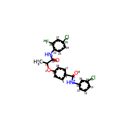 CC(Oc1ccc(C(=O)Nc2cccc(Cl)c2)cc1)C(=O)Nc1ccc(Cl)cc1F